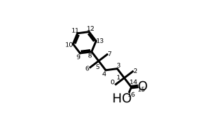 CC(C)(CCC(C)(C)c1ccccc1)C(=O)O